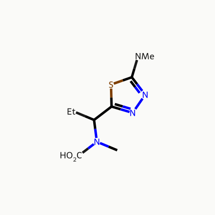 CCC(c1nnc(NC)s1)N(C)C(=O)O